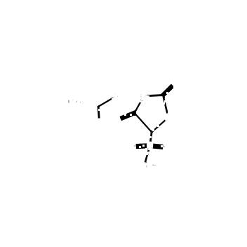 CC(C)[C@H](N)C(=O)O.CCCCCS(=O)(=O)C1SC(=O)NC1=O